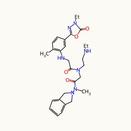 CCNCCN(CC(=O)N(C)N1Cc2ccccc2C1)C(=O)CNc1cc(-c2nn(CC)c(=O)o2)ccc1C